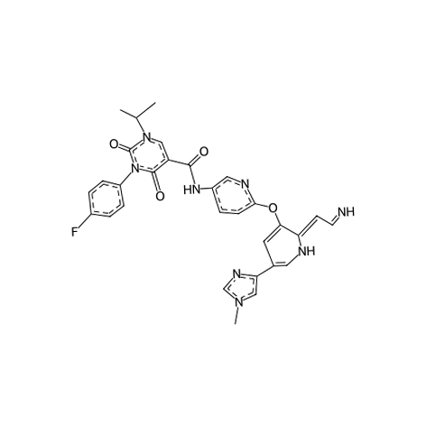 CC(C)n1cc(C(=O)Nc2ccc(OC3=CC(c4cn(C)cn4)=CN/C3=C\C=N)nc2)c(=O)n(-c2ccc(F)cc2)c1=O